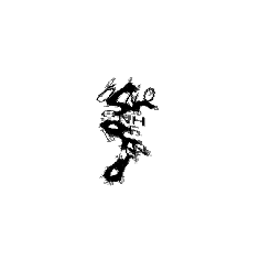 COc1ccn2c(C(C)=O)cc(C(=O)Nc3cccc(-c4cnn(Cc5ccccc5)c4)c3F)c2c1